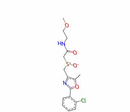 COCCNC(=O)C[S+]([O-])Cc1nc(-c2ccccc2Cl)oc1C